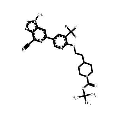 Cn1nnc2c(C#N)nc(-c3cnc(OCCC4CCN(C(=O)OC(C)(C)C)CC4)c(C(F)(F)F)c3)cc21